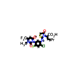 CC(C)CC(C(=O)O)N1C(=O)CS/C1=N\c1cc(-n2c(=O)cc(C(F)(F)F)n(C)c2=O)c(F)cc1Cl